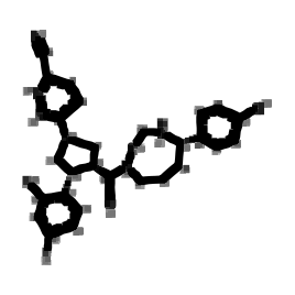 N#Cc1ccc(N2C[C@@H](C(=O)N3CCC[C@@H](c4ccc(Cl)cc4)NCC3)[C@H](c3ccc(F)cc3F)C2)nn1